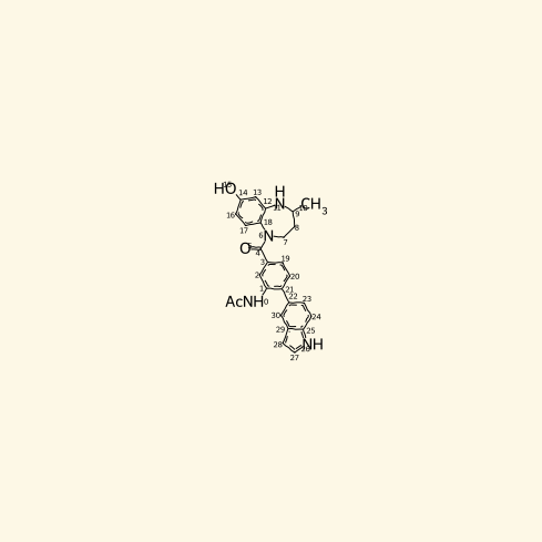 CC(=O)Nc1cc(C(=O)N2CCC(C)Nc3cc(O)ccc32)ccc1-c1ccc2[nH]ccc2c1